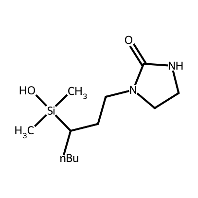 CCCCC(CCN1CCNC1=O)[Si](C)(C)O